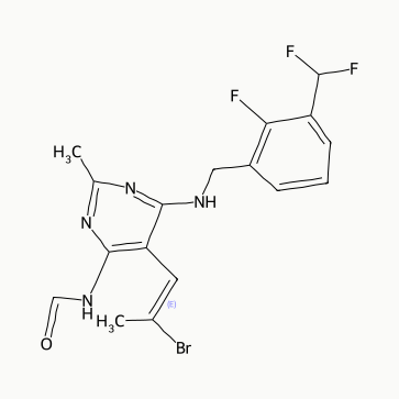 C/C(Br)=C\c1c(NC=O)nc(C)nc1NCc1cccc(C(F)F)c1F